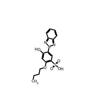 CCCCOc1cc(O)c(-n2nc3ccccc3n2)cc1S(=O)(=O)O